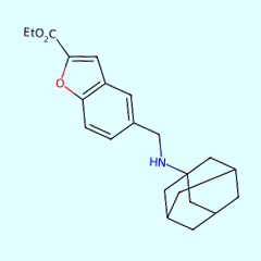 CCOC(=O)c1cc2cc(CNC34CC5CC(CC(C5)C3)C4)ccc2o1